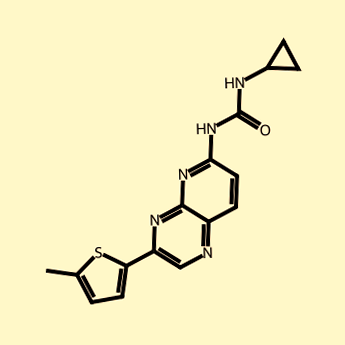 Cc1ccc(-c2cnc3ccc(NC(=O)NC4CC4)nc3n2)s1